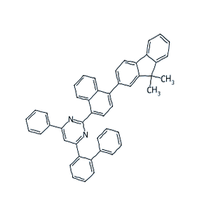 CC1(C)c2ccccc2-c2ccc(-c3ccc(-c4nc(-c5ccccc5)cc(-c5ccccc5-c5ccccc5)n4)c4ccccc34)cc21